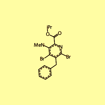 CNc1c(C(=O)OC(C)C)nc(Br)c(Cc2ccccc2)c1Br